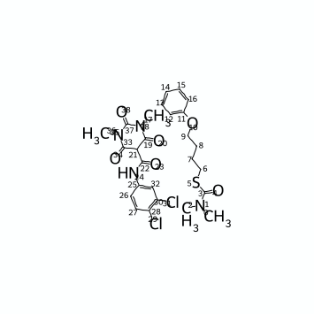 CN(C)C(=O)SCCCCOc1ccccc1.CN1C(=O)C(C(=O)Nc2ccc(Cl)c(Cl)c2)C(=O)N(C)C1=O